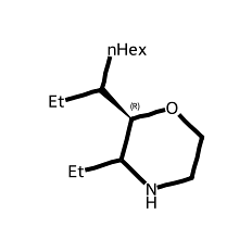 CCCCCCC(CC)[C@H]1OCCNC1CC